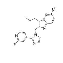 CCCc1c(Cn2ccnc2-c2ccnc(F)c2)nc2ccc(Cl)nn12